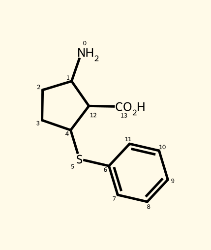 NC1CCC(Sc2ccccc2)C1C(=O)O